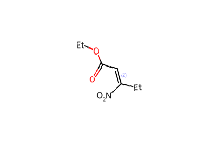 CCOC(=O)/C=C(/CC)[N+](=O)[O-]